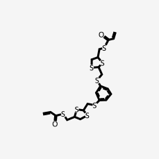 C=CC(=O)SCC1CSC(CSc2cccc(SCC3SCC(CSC(=O)C=C)S3)c2)S1